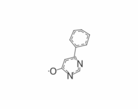 [O]c1cc(-c2ccccc2)ncn1